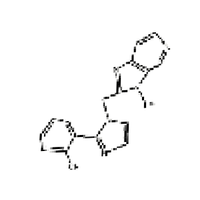 CCCn1c(Cn2ccnc2-c2ccccc2C#N)nc2ccncc21